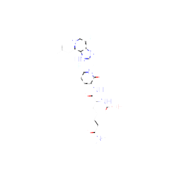 CC(C)Cc1ncc(F)c2nc(Cn3c(F)ccc(NC(=O)C(CC/C=C/C(=O)N(C)C)NC(=O)O)c3=O)[nH]c12